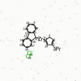 CC(C)C1=CC[C]([Zr+2][CH]2c3ccccc3-c3ccccc32)=C1.[Cl-].[Cl-]